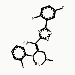 CN(C)C/C(=C(/N)c1nc(-c2cc(F)ccc2F)no1)N(N)c1ccccc1F